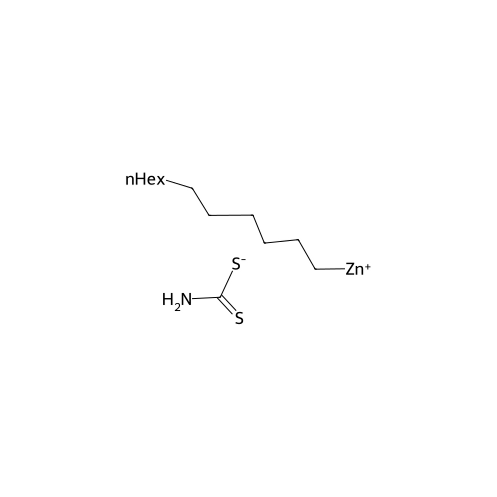 CCCCCCCCCCC[CH2][Zn+].NC(=S)[S-]